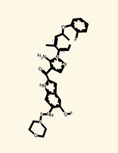 C/C=C(\C(C)=C/C(C)Oc1ccccc1F)n1ncc(C(=O)c2cc3cc(OF)c(NSN4CCOCC4)cc3[nH]2)c1N